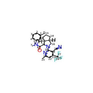 Cc1cccc(N(C)C(=O)[C@H]2[C@H]3CCC[C@H]3CN2c2nc(C)cc(C(F)(F)F)c2C#N)c1